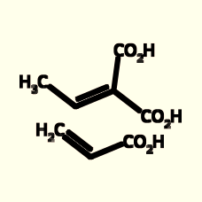 C=CC(=O)O.CC=C(C(=O)O)C(=O)O